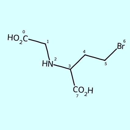 O=C(O)CNC(CCBr)C(=O)O